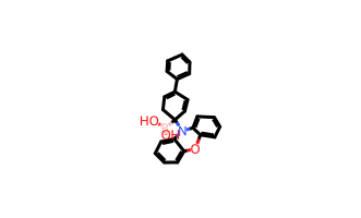 OB(O)C1(N2c3ccccc3Oc3ccccc32)C=CC(c2ccccc2)=CC1